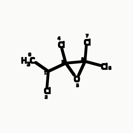 CC(Cl)C1(Cl)OC1(Cl)Cl